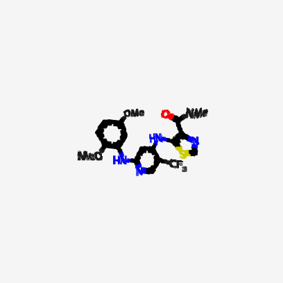 CNC(=O)c1ncsc1Nc1cc(Nc2cc(OC)ccc2OC)ncc1C(F)(F)F